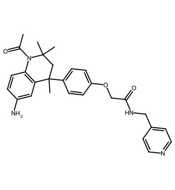 CC(=O)N1c2ccc(N)cc2C(C)(c2ccc(OCC(=O)NCc3ccncc3)cc2)CC1(C)C